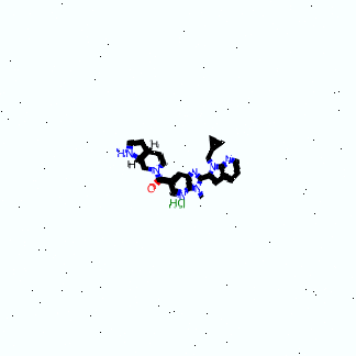 Cl.Cn1c(-c2cc3cccnc3n2CC2CC2)nc2cc(C(=O)N3CC[C@H]4CCN[C@H]4C3)cnc21